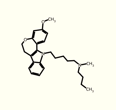 CCCCN(C)CCCCCn1c2c(c3ccccc31)CCOc1cc(OC)ccc1-2